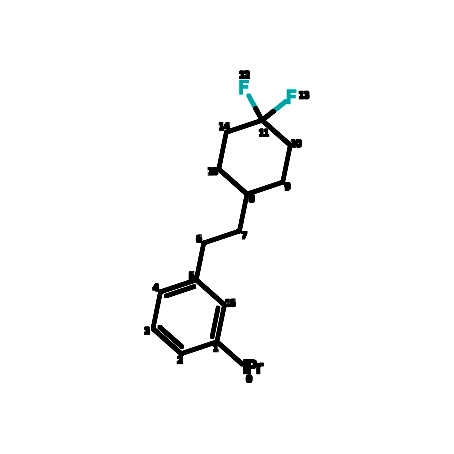 CC(C)c1cccc(CCC2CCC(F)(F)CC2)c1